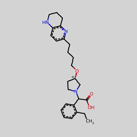 CCc1ccccc1C(C(=O)O)N1CC[C@@H](OCCCCc2ccc3c(n2)CCCN3)C1